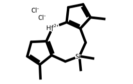 CC1=CC[C]2=C1C[Si](C)(C)CC1=[C](CC=C1C)[Hf+2]2.[Cl-].[Cl-]